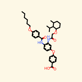 CCCCCCOc1ccc(C(=O)Nc2ccc(Oc3ccc(C(=O)O)cc3)cc2NC(=O)COC2CCCC(C)C2C(C)C)cc1